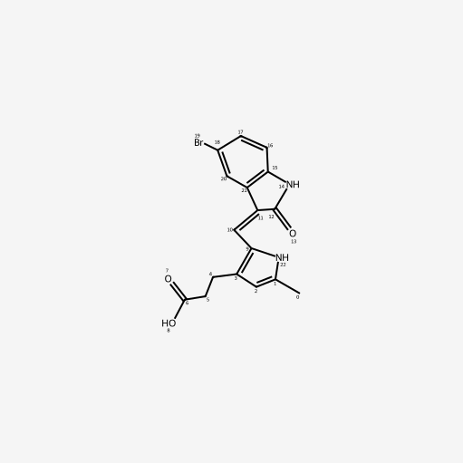 Cc1cc(CCC(=O)O)c(/C=C2\C(=O)Nc3ccc(Br)cc32)[nH]1